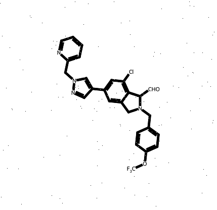 O=CC1c2c(Cl)cc(-c3cnn(Cc4ccccn4)c3)cc2CN1Cc1ccc(OC(F)(F)F)cc1